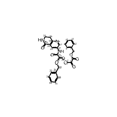 O=C(Cl)C(=O)OCc1ccccc1.O=C(Nc1cnc2c(c1)C(=O)NCC2)C(=O)OCc1ccccc1